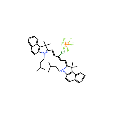 CC(C)CCN1C(=CC=C(Cl)C=CC2=[N+](CCC(C)C)c3ccc4ccccc4c3C2(C)C)C(C)(C)c2c1ccc1ccccc21.F[P-](F)(F)(F)(F)F